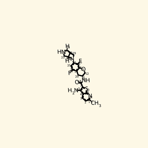 Cc1ccc2c(N)c(C(=O)N[C@H]3COc4c(F)c(N5C6C7[C@@H]6NC[C@H]75)cc(F)c4C3)sc2n1